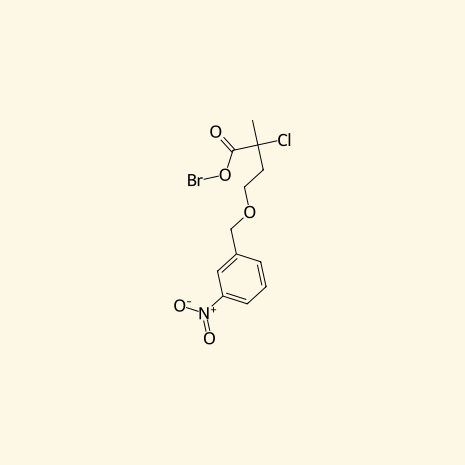 CC(Cl)(CCOCc1cccc([N+](=O)[O-])c1)C(=O)OBr